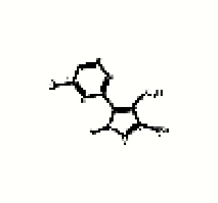 Cn1nc(C(C)(C)C)c(C(=O)O)c1-c1cccc(Cl)c1